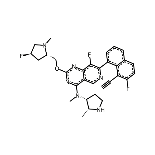 C#Cc1c(F)ccc2cccc(-c3ncc4c(N(C)[C@@H]5CCN[C@@H]5C)nc(OC[C@@H]5C[C@@H](F)CN5C)nc4c3F)c12